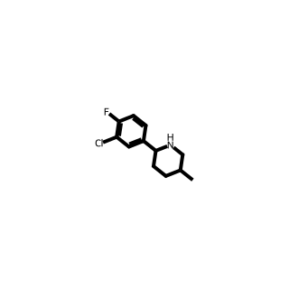 CC1CCC(c2ccc(F)c(Cl)c2)NC1